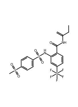 C=C(CC)NC(=O)c1ccc(S(F)(F)(F)(F)F)cc1NS(=O)(=O)c1ccc(S(C)(=O)=O)cc1